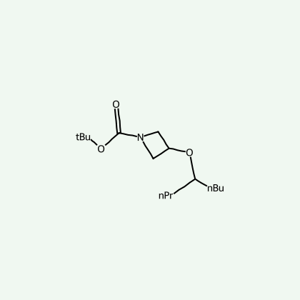 CCCCC(CCC)OC1CN(C(=O)OC(C)(C)C)C1